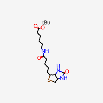 CC(C)(C)OC(=O)CCCCCNC(=O)CCCCC1SCC2NC(=O)NC21